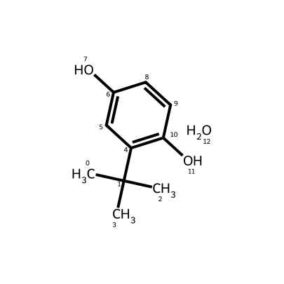 CC(C)(C)c1cc(O)ccc1O.O